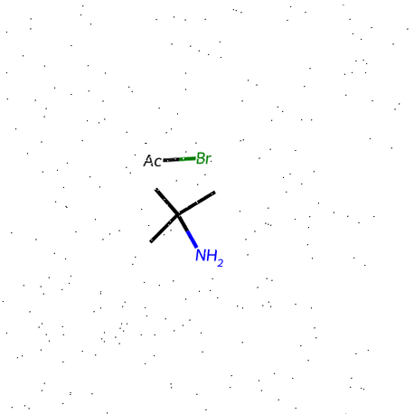 CC(=O)Br.CC(C)(C)N